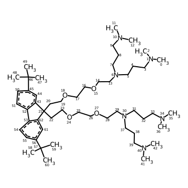 CN(C)CCCN(CCCN(C)C)CCOCCOCCC1(CCOCCOCCN(CCCN(C)C)CCCN(C)C)c2cc(C(C)(C)C)ccc2-c2ccc(C(C)(C)C)cc21